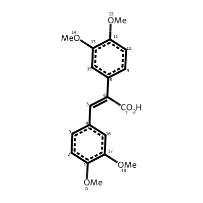 COc1ccc(/C=C(\C(=O)O)c2ccc(OC)c(OC)c2)cc1OC